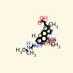 CC(C)NCCNC1CC[C@]2(C)C3CC[C@@]4(C)C(CC[C@@H]4[C@H](C)CCC(=O)O)C3[C@H](NS(C)(=O)=O)C[C@H]2C1